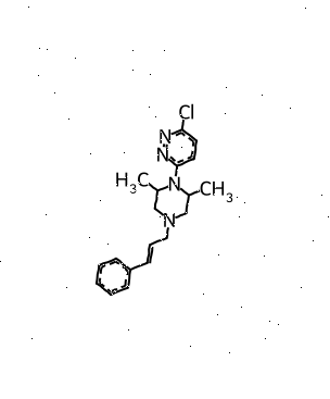 CC1CN(C/C=C/c2ccccc2)CC(C)N1c1ccc(Cl)nn1